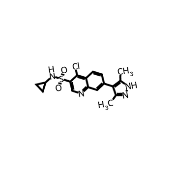 Cc1n[nH]c(C)c1-c1ccc2c(Cl)c(S(=O)(=O)NC3CC3)cnc2c1